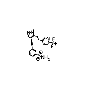 Cn1ncc(C#Cc2cccc(S(N)(=O)=O)c2)c1CCc1ccc(C(F)(F)F)nc1